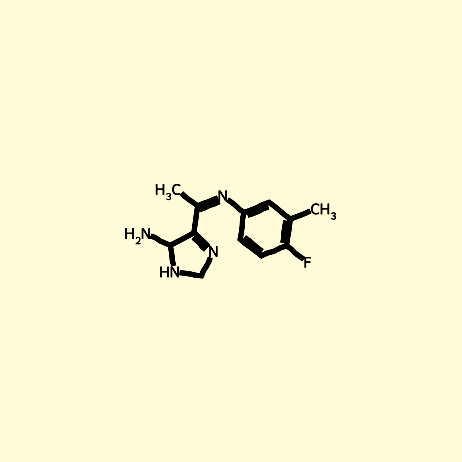 C/C(=N/c1ccc(F)c(C)c1)C1=NCNC1N